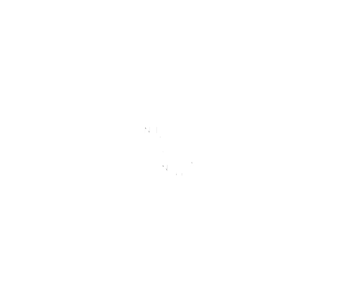 CC(=O)ON(C)C(=O)CN